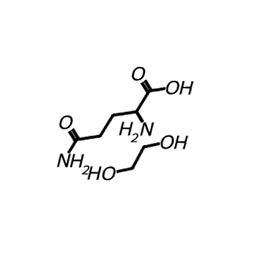 NC(=O)CCC(N)C(=O)O.OCCO